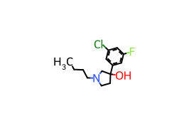 CCCCN1CCC(O)(c2cc(F)cc(Cl)c2)C1